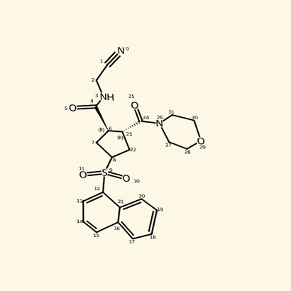 N#CCNC(=O)[C@@H]1CC(S(=O)(=O)c2cccc3ccccc23)C[C@H]1C(=O)N1CCOCC1